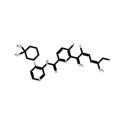 C=C(/C(F)=C\C=C(\C)CF)c1nc(C(=O)Nc2cnccc2[C@H]2CCCC(C)(C)C2)ccc1F